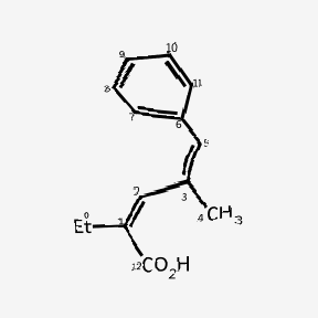 CCC(=CC(C)=Cc1ccccc1)C(=O)O